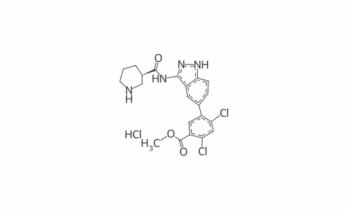 COC(=O)c1cc(-c2ccc3[nH]nc(NC(=O)[C@@H]4CCCNC4)c3c2)c(Cl)cc1Cl.Cl